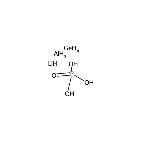 O=P(O)(O)O.[AlH3].[GeH4].[LiH]